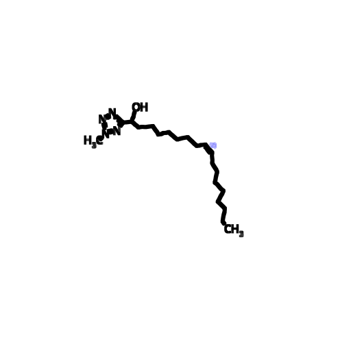 CCCCCCCC/C=C\CCCCCCCC(O)c1nnn(C)n1